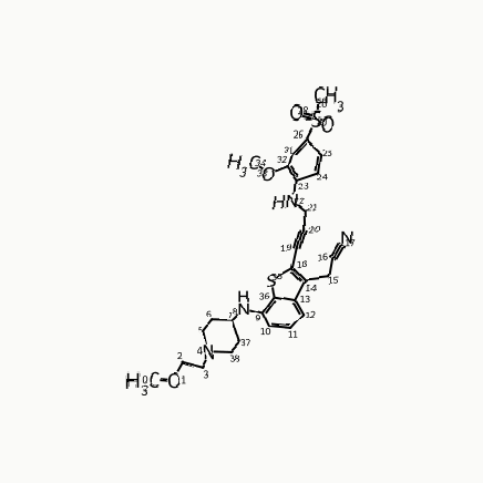 COCCN1CCC(Nc2cccc3c(CC#N)c(C#CCNc4ccc(S(C)(=O)=O)cc4OC)sc23)CC1